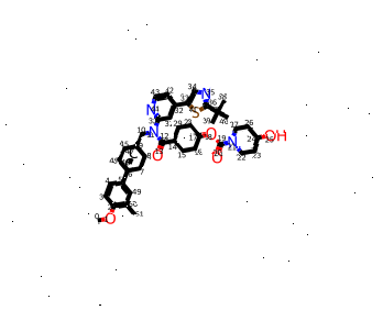 COc1ccc(C23CCC(CN(C(=O)C4CCC(OC(=O)N5CCC(O)CC5)CC4)c4cc(-c5cnc(C(C)(C)C)s5)ccn4)(CC2)CC3)cc1C